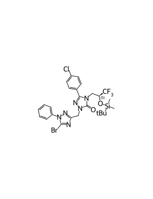 CC(C)(C)[Si](C)(C)O[C@@H](Cn1c(-c2ccc(Cl)cc2)nn(Cc2nc(Br)n(-c3ccccc3)n2)c1=O)C(F)(F)F